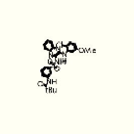 COc1ccc(Cl)c(Nc2nc3ccccc3nc2NS(=O)(=O)c2cccc(NC(=O)C(C)(C)C)c2)c1